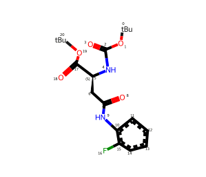 CC(C)(C)OC(=O)N[C@@H](CC(=O)Nc1ccccc1F)C(=O)OC(C)(C)C